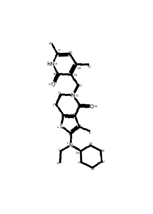 CCN(c1sc2c(c1C)C(=O)N(Cc1c(C)cc(C)[nH]c1=O)CC2)C1CCCCC1